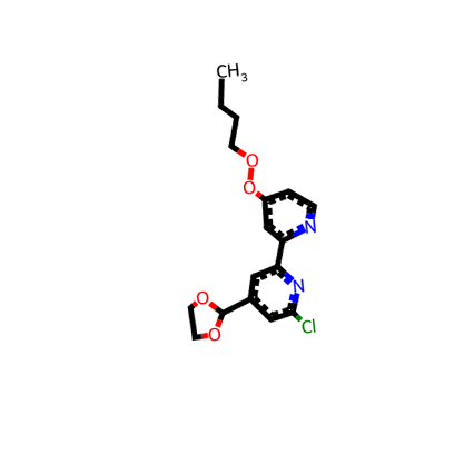 CCCCOOc1ccnc(-c2cc(C3OCCO3)cc(Cl)n2)c1